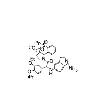 CCOc1cc(C(Nc2ccc3c(N)nccc3c2)C(=O)N2CC[C@@H](C(=O)O)[C@H]2c2ccccc2S(=O)(=O)C(C)C)ccc1OC(C)C